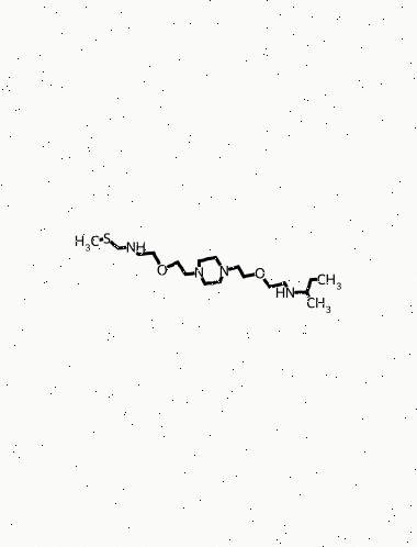 CCC(C)NCCOCCN1CCN(CCOCCNCSC)CC1